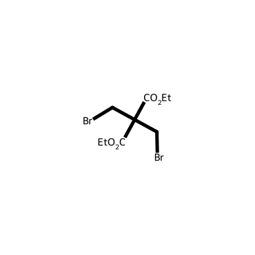 CCOC(=O)C(CBr)(CBr)C(=O)OCC